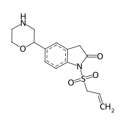 C=CCS(=O)(=O)N1C(=O)Cc2cc(C3CNCCO3)ccc21